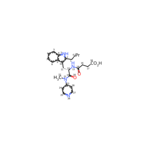 CC(C)Cc1[nH]c2ccccc2c1C[C@H](NC(=O)CCC(=O)O)C(=O)N(C)c1ccncc1